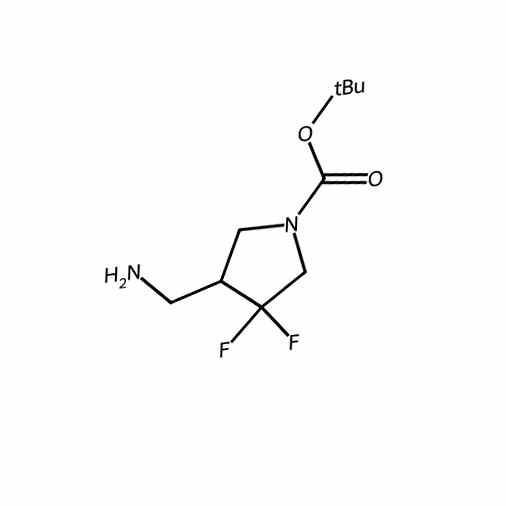 CC(C)(C)OC(=O)N1CC(CN)C(F)(F)C1